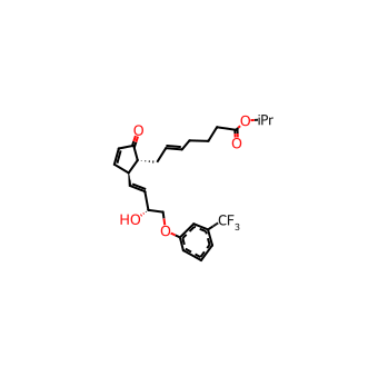 CC(C)OC(=O)CCC/C=C/C[C@H]1C(=O)C=C[C@@H]1/C=C/[C@@H](O)COc1cccc(C(F)(F)F)c1